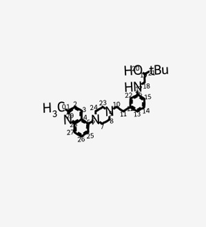 Cc1ccc2c(N3CCN(CCc4cccc(NCC(O)C(C)(C)C)c4)CC3)cccc2n1